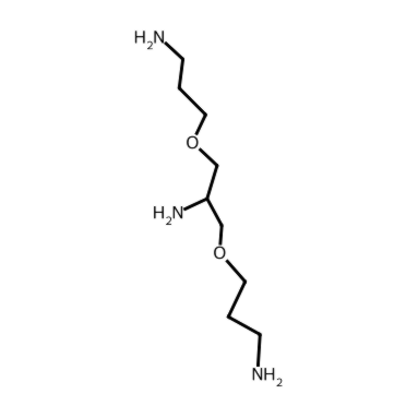 NCCCOCC(N)COCCCN